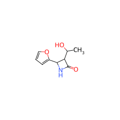 CC(O)C1C(=O)NC1c1ccco1